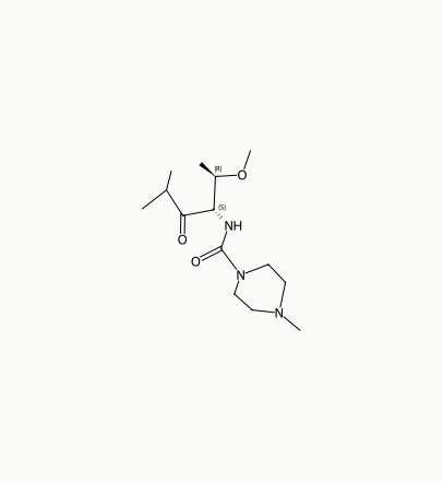 CO[C@H](C)[C@H](NC(=O)N1CCN(C)CC1)C(=O)C(C)C